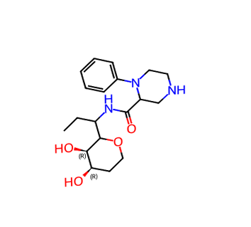 CCC(NC(=O)C1CNCCN1c1ccccc1)C1OCC[C@@H](O)[C@H]1O